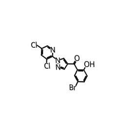 O=C(c1cnn(-c2ncc(Cl)cc2Cl)c1)c1cc(Br)ccc1O